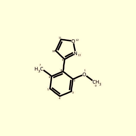 COc1cccc(C)c1-c1ccon1